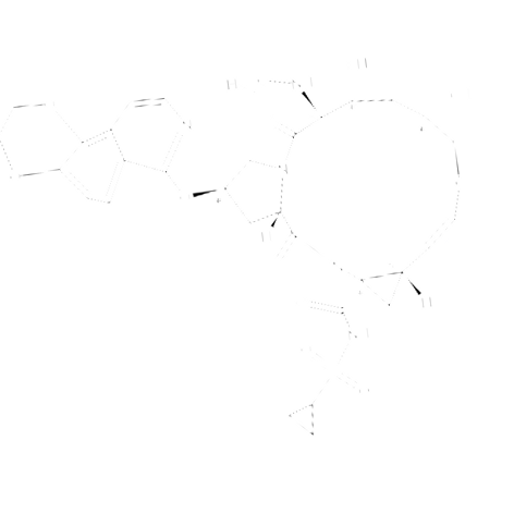 C[C@@H]1CC/C=C\[C@@H]2C[C@@]2(C(=O)NS(=O)(=O)C2CC2)NC(=O)[C@@H]2C[C@@H](Oc3nccc4c5c(ccc34)OCCO5)CN2C(=O)[C@@H](NC(=O)O)[C@H](C)C1